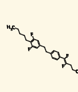 CCCCCc1c(F)cc(CCc2ccc(C(F)=C(F)CCC)cc2)cc1F